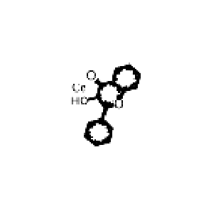 O=c1c(O)c(-c2ccccc2)oc2ccccc12.[Ce]